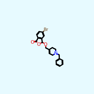 O=C1OC(OCC2=CCN(Cc3ccccc3)CC2)c2cc(Br)ccc21